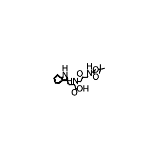 CC(C)(C)OC(=O)NCC(=O)CNC(Cc1[c][nH]c2ccccc12)C(=O)O